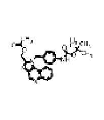 CC(=O)OCc1nc2cnc3ccccc3c2n1Cc1ccc(NC(=O)OC(C)(C)C)cc1